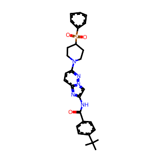 CC(C)(C)c1ccc(C(=O)Nc2cn3nc(N4CCC(S(=O)(=O)c5ccccc5)CC4)ccc3n2)cc1